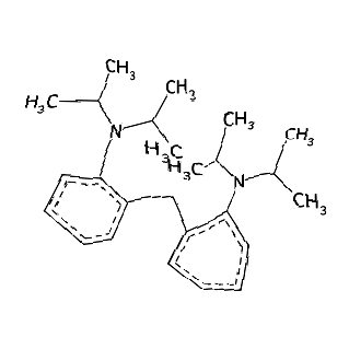 CC(C)N(c1ccccc1Cc1ccccc1N(C(C)C)C(C)C)C(C)C